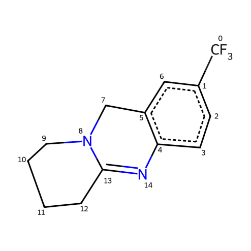 FC(F)(F)c1ccc2c(c1)CN1CCCCC1=N2